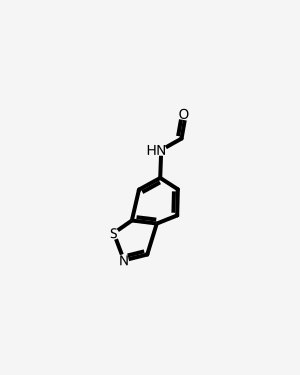 O=CNc1ccc2cnsc2c1